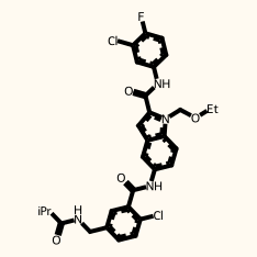 CCOCn1c(C(=O)Nc2ccc(F)c(Cl)c2)cc2cc(NC(=O)c3cc(CNC(=O)C(C)C)ccc3Cl)ccc21